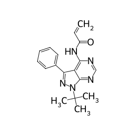 C=CC(=O)Nc1ncnc2c1c(-c1ccccc1)nn2C(C)(C)C